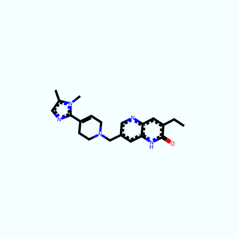 CCc1cc2ncc(CN3CC=C(c4ncc(C)n4C)CC3)cc2[nH]c1=O